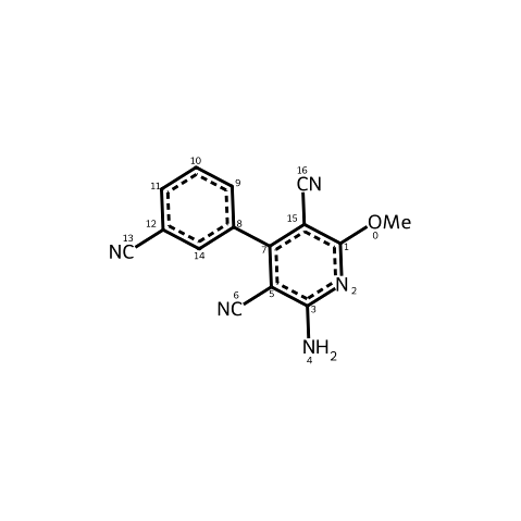 COc1nc(N)c(C#N)c(-c2cccc(C#N)c2)c1C#N